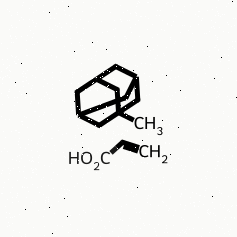 C=CC(=O)O.CC12CC3CC(CC(C3)C1)C2